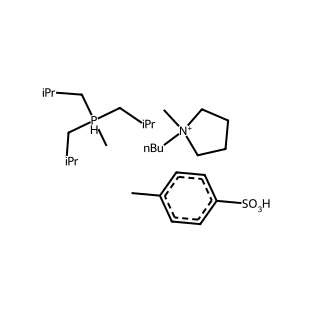 CC(C)C[PH](C)(CC(C)C)CC(C)C.CCCC[N+]1(C)CCCC1.Cc1ccc(S(=O)(=O)O)cc1